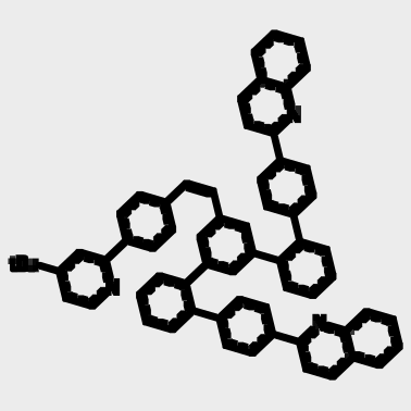 CC(C)(C)c1ccnc(-c2ccc(/C=C\c3cc(-c4ccccc4-c4ccc(-c5ccc6ccccc6n5)cc4)cc(-c4ccccc4-c4ccc(-c5ccc6ccccc6n5)cc4)c3)cc2)c1